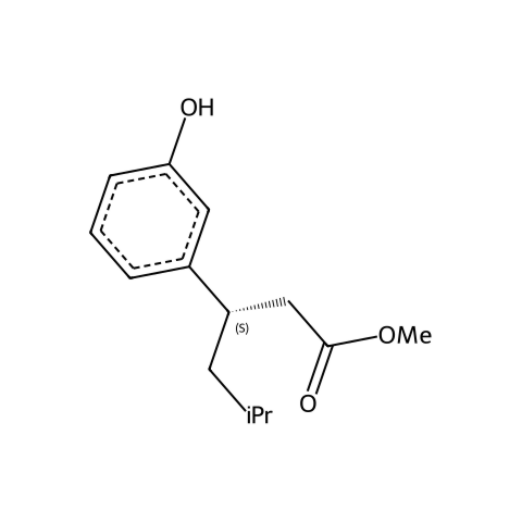 COC(=O)C[C@H](CC(C)C)c1cccc(O)c1